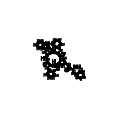 N[C@@H](Cc1ccccc1)C(=O)O[C@@H]1C[C@@H]2C(=O)N[C@@H](Cc3ccccc3)C(=O)N[C@H](Cc3c[nH]c4ccccc34)C(=O)N[C@@H](Cc3ccccc3)C(=O)N2C1